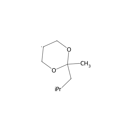 CC(C)CC1(C)OC[CH]CO1